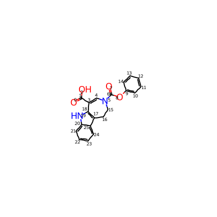 O=C(O)C1=CN(C(=O)Oc2ccccc2)CCc2c1[nH]c1ccccc21